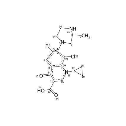 CC1CN(c2c(F)cc3c(=O)c(C(=O)O)cn(C4CC4)c3c2Cl)CCN1